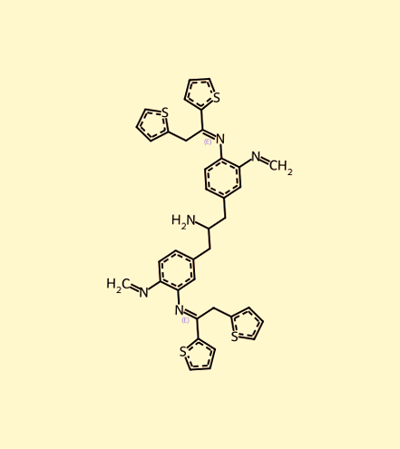 C=Nc1cc(CC(N)Cc2ccc(N=C)c(/N=C(\Cc3cccs3)c3cccs3)c2)ccc1/N=C(\Cc1cccs1)c1cccs1